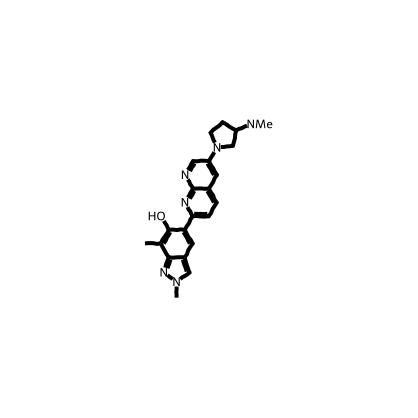 CNC1CCN(c2cnc3nc(-c4cc5cn(C)nc5c(C)c4O)ccc3c2)C1